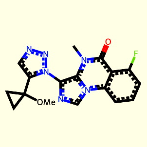 COC1(c2cnnn2-c2ncn3c4cccc(F)c4c(=O)n(C)c23)CC1